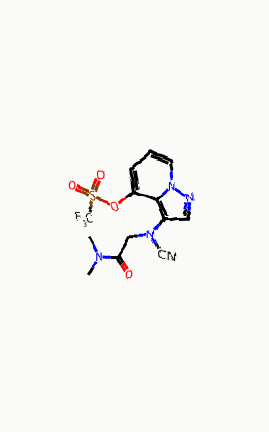 CN(C)C(=O)CN(C#N)c1cnn2cccc(OS(=O)(=O)C(F)(F)F)c12